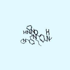 CCCCN(C(=O)c1ccc(CNCC)cc1)C(Cc1ccccc1CN1CCCCC1)c1nc2ccccc2[nH]1